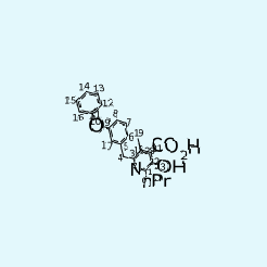 CCCc1nc(Cc2cccc(Oc3ccccc3)c2)c(C)c(C(=O)O)c1O